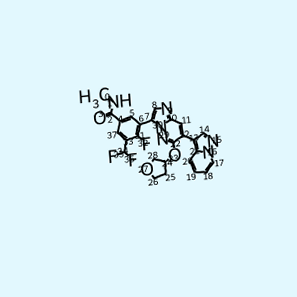 CNC(=O)c1cc(-c2cnc3cc(-c4cnn5ccccc45)c(O[C@H]4CCOC4)nn23)c(F)c(C(F)F)c1